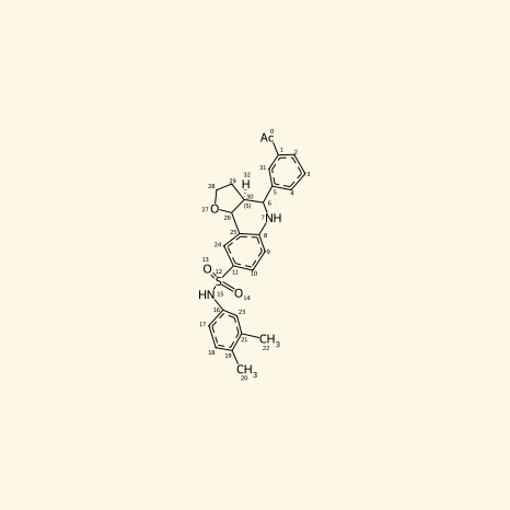 CC(=O)c1cccc(C2Nc3ccc(S(=O)(=O)Nc4ccc(C)c(C)c4)cc3C3OCC[C@@H]23)c1